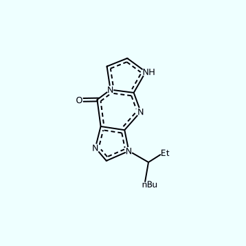 CCCCC(CC)n1cnc2c(=O)n3cc[nH]c3nc21